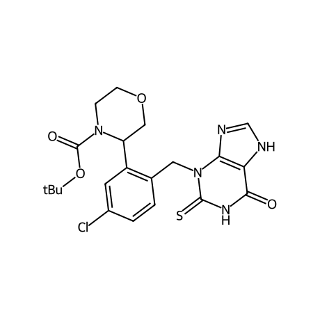 CC(C)(C)OC(=O)N1CCOCC1c1cc(Cl)ccc1Cn1c(=S)[nH]c(=O)c2[nH]cnc21